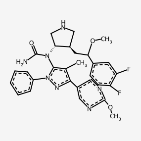 COc1ncc(-c2nn(-c3ccccc3)c(N(C(N)=O)[C@@H]3CNC[C@H]3CC(OC)c3ccc(F)c(F)c3)c2C)cn1